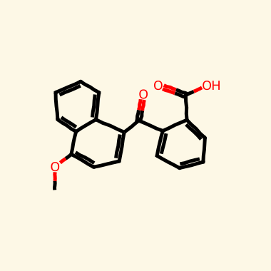 COc1ccc(C(=O)c2ccccc2C(=O)O)c2ccccc12